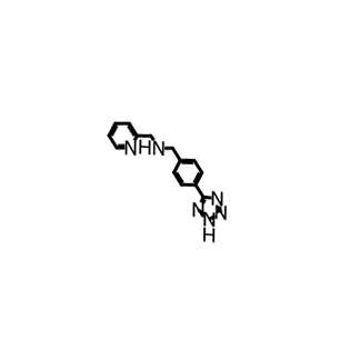 c1ccc(CNCc2ccc(-c3nn[nH]n3)cc2)nc1